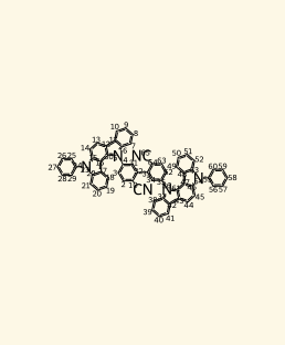 N#Cc1ccc(-n2c3ccccc3c3ccc4c(c5ccccc5n4-c4ccccc4)c32)cc1-c1cc(-n2c3ccccc3c3ccc4c(c5ccccc5n4-c4ccccc4)c32)ccc1C#N